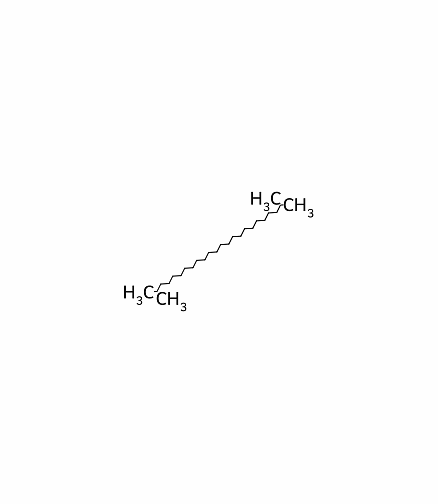 CC(C)CCCCCCCCCCCCCCCCCCCCC(C)C